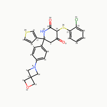 O=C1CC(c2ccc(N3CC4(COC4)C3)cc2)(c2ccsc2)NC(=O)C1Sc1ccccc1Cl